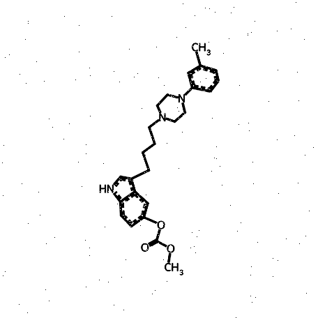 COC(=O)Oc1ccc2[nH]cc(CCCCN3CCN(c4cccc(C)c4)CC3)c2c1